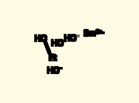 CCO.[OH-].[OH-].[OH-].[Sm+3]